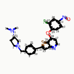 CN(C)[C@H]1CCN(Cc2ccc(-c3cc4nccc(Oc5ccc(N=O)cc5F)c4s3)cc2)C1